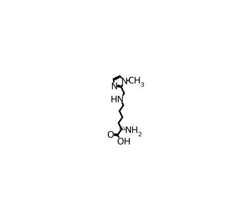 Cn1ccnc1CNCCCC[C@H](N)C(=O)O